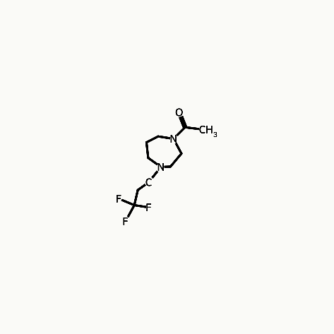 CC(=O)N1CCCN(CCC(F)(F)F)CC1